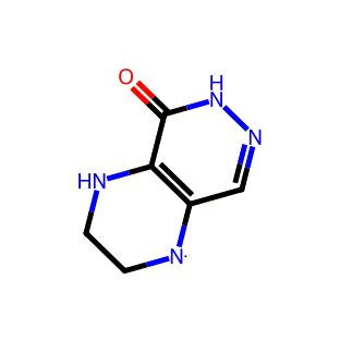 O=c1[nH]ncc2c1NCC[N]2